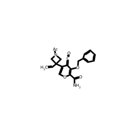 C=CC1(C2=COC(C(N)=O)=C(OCc3ccccc3)C2=C=O)CN(C(C)=O)C1